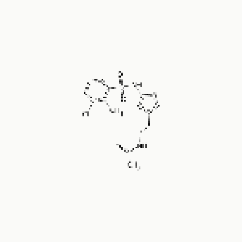 CC(=O)NCCc1csc(NS(=O)(=O)c2cccc(Cl)c2C)n1